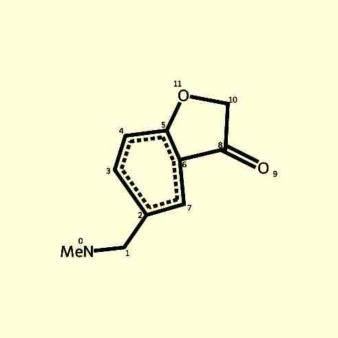 CNCc1ccc2c(c1)C(=O)CO2